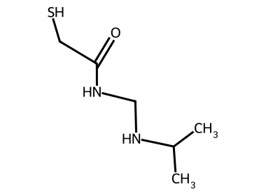 CC(C)NCNC(=O)CS